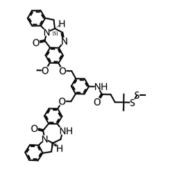 COc1cc2c(cc1OCc1cc(COc3ccc4c(c3)NC[C@@H]3Cc5ccccc5N3C4=O)cc(NC(=O)CCC(C)(C)SSC)c1)N=C[C@@H]1Cc3ccccc3N1C2=O